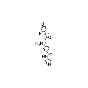 CC(C)(C(=O)NCC(N)c1ccc(C(=O)Nc2ccncc2)cc1)c1ccc(Cl)cc1F